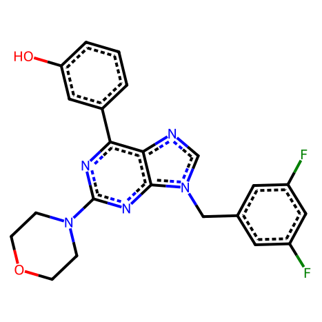 Oc1cccc(-c2nc(N3CCOCC3)nc3c2ncn3Cc2cc(F)cc(F)c2)c1